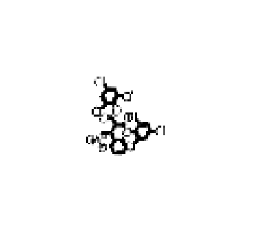 O=C(Oc1c(Cl)cc(Cl)cc1Cl)C(C(=O)Oc1c(Cl)cc(Cl)cc1Cl)C(C[N+](=O)[O-])c1ccccc1